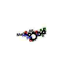 COC(=O)Nc1ccc2c(c1)NC(=O)[C@H](C)CCC[C@H](N1CCC(c3c(F)ccc(Cl)c3F)=CC1=O)c1cc-2c(C(C)=O)s1